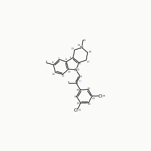 C/C(=C\n1c2c(c3cc(C)ccc31)CN(C)CC2)c1cc(Cl)cc(Cl)c1